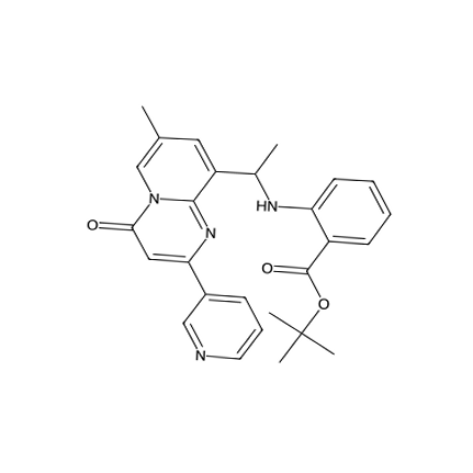 Cc1cc(C(C)Nc2ccccc2C(=O)OC(C)(C)C)c2nc(-c3cccnc3)cc(=O)n2c1